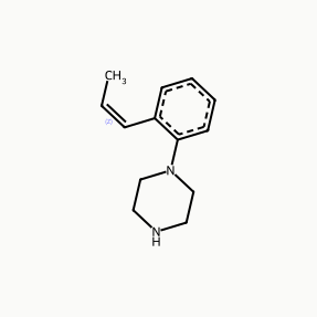 C/C=C\c1ccccc1N1CCNCC1